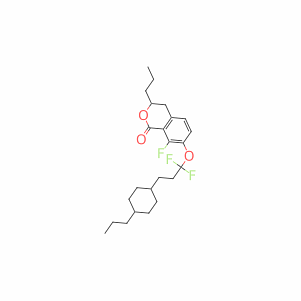 CCCC1CCC(CCC(F)(F)Oc2ccc3c(c2F)C(=O)OC(CCC)C3)CC1